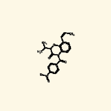 C/C=C\c1cccc2c1OC(C(C)C)C(=O)N2C(=O)c1ccc([N+](=O)[O-])cc1